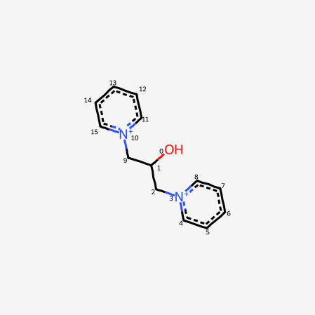 OC(C[n+]1ccccc1)C[n+]1ccccc1